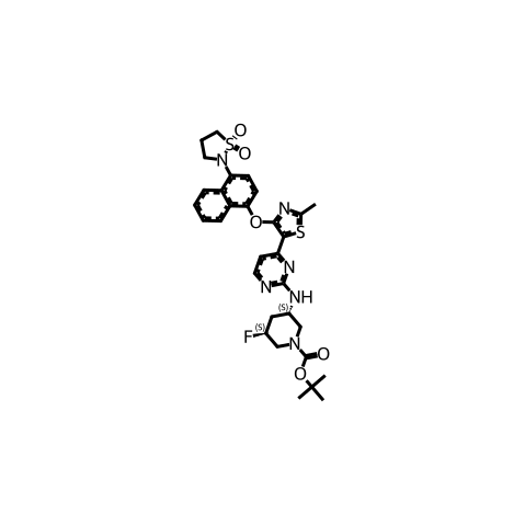 Cc1nc(Oc2ccc(N3CCCS3(=O)=O)c3ccccc23)c(-c2ccnc(N[C@H]3C[C@H](F)CN(C(=O)OC(C)(C)C)C3)n2)s1